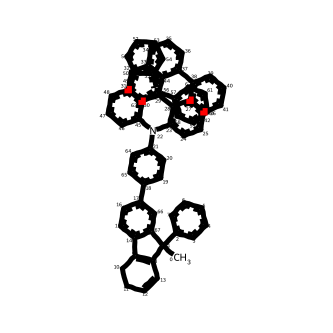 CC1(c2ccccc2)C2=C(CCC=C2)c2ccc(-c3ccc(N(c4ccccc4-c4cccc5cccc(-c6ccccc6)c45)c4cccc5c6ccccc6n(-c6ccccc6)c45)cc3)cc21